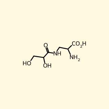 NC(CNC(=O)C(O)CO)C(=O)O